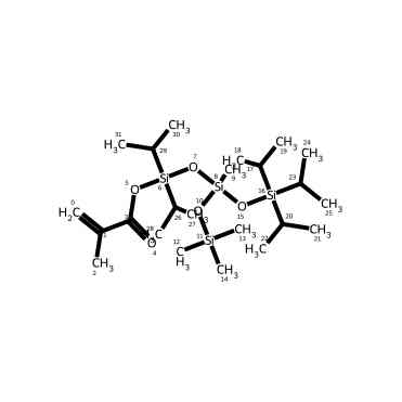 C=C(C)C(=O)O[Si](O[Si](C)(O[Si](C)(C)C)O[Si](C(C)C)(C(C)C)C(C)C)(C(C)C)C(C)C